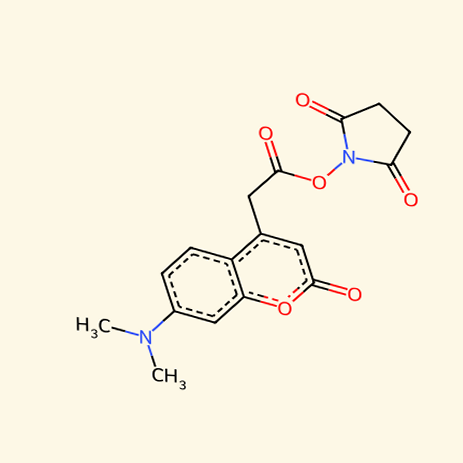 CN(C)c1ccc2c(CC(=O)ON3C(=O)CCC3=O)cc(=O)oc2c1